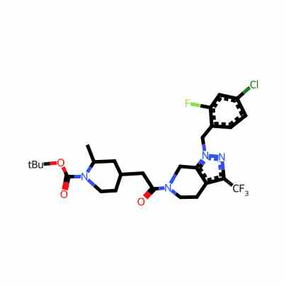 CC1CC(CC(=O)N2CCc3c(C(F)(F)F)nn(Cc4ccc(Cl)cc4F)c3C2)CCN1C(=O)OC(C)(C)C